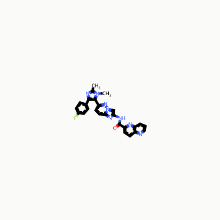 Cc1nc(-c2ccc(F)cc2)c(-c2ccc3nc(NC(=O)c4ccc5ncccc5n4)cn3n2)n1C